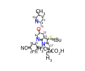 Cc1ccc(COc2cnc3c(c2)c(SC(C)(C)C)c(CC(C)(C)C(=O)O)n3Cc2ccc(C#N)cc2)nc1